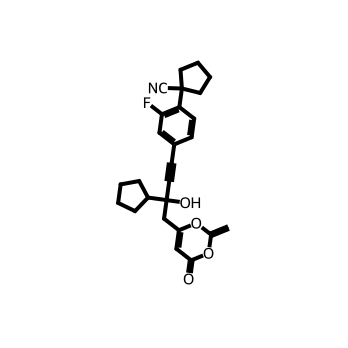 C=C1OC(=O)C=C(CC(O)(C#Cc2ccc(C3(C#N)CCCC3)c(F)c2)C2CCCC2)O1